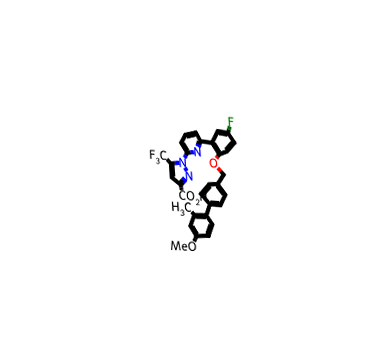 COc1ccc(-c2ccc(COc3ccc(F)cc3-c3cccc(-n4nc(C(=O)O)cc4C(F)(F)F)n3)cc2)c(C)c1